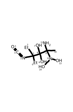 CCC(CC)(N=C=O)C(O)(O)C(C)(N)N(O)O